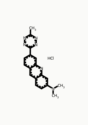 Cc1nnc(-c2ccc3cc4ccc(N(C)C)cc4nc3c2)nn1.Cl